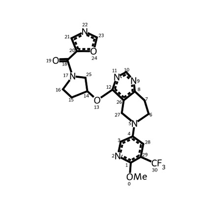 COc1ncc(N2CCc3ncnc(OC4CCN(C(=O)c5cnco5)C4)c3C2)cc1C(F)(F)F